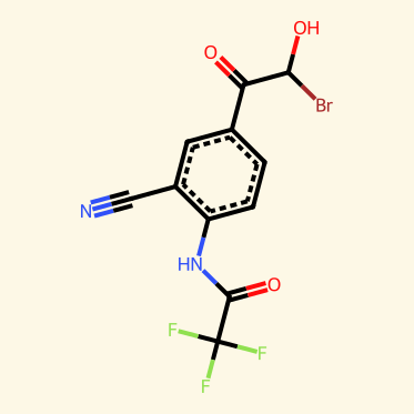 N#Cc1cc(C(=O)C(O)Br)ccc1NC(=O)C(F)(F)F